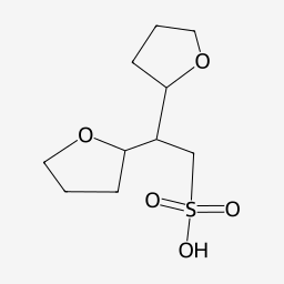 O=S(=O)(O)CC(C1CCCO1)C1CCCO1